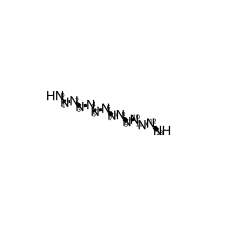 N=N/N=N/N=N/N=N/N=N/N=N/N=N